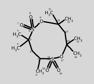 CC1CC(C)(C)S(=O)(=O)OC(C)(C)CC(C)(C)OS1(=O)=O